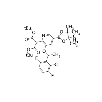 CC(Oc1cc(B2OC(C)(C)C(C)(C)O2)cnc1N(C(=O)OC(C)(C)C)C(=O)OC(C)(C)C)c1c(F)ccc(F)c1Cl